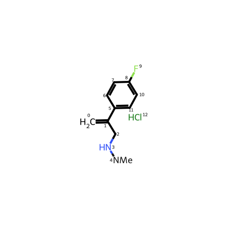 C=C(CNNC)c1ccc(F)cc1.Cl